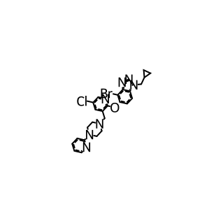 Clc1cnc(Oc2ccc3c(nnn3CC3CC3)c2Br)c(CN2CCN(c3ccccn3)CC2)c1